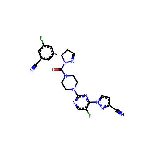 N#Cc1cc(F)cc([C@@H]2CC=NN2C(=O)N2CCN(c3ncc(F)c(-n4ccc(C#N)n4)n3)CC2)c1